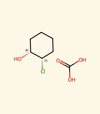 O=C(O)O.O[C@@H]1CCCC[C@@H]1Cl